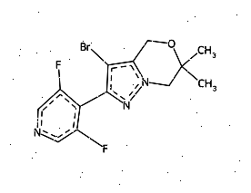 CC1(C)Cn2nc(-c3c(F)cncc3F)c(Br)c2CO1